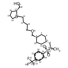 CN(C[C@H]1CC[C@H](COCCCCN2CCC[C@H]2CO)CC1)S(=O)(=O)c1ccc(C(F)(F)F)cc1